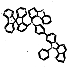 c1ccc(-n2c3cc(-c4ccc(N(c5cccc6c5-c5ccccc5C65c6ccccc6-c6ccccc65)c5cccc6oc7ccccc7c56)cc4)ccc3c3ccc4ccccc4c32)cc1